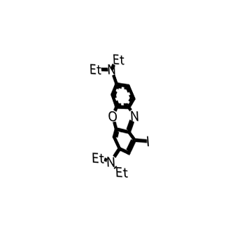 CCN(CC)c1ccc2c(c1)OC1=CC(N(CC)CC)C=C(I)C1=N2